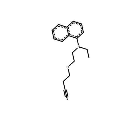 CCN(CCOCCC#N)c1cccc2ccccc12